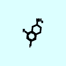 NC1CCc2cc(F)cc(F)c2C1